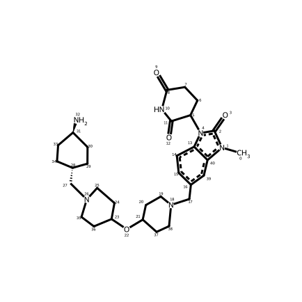 Cn1c(=O)n(C2CCC(=O)NC2=O)c2ccc(CN3CCC(OC4CCN(C[C@H]5CC[C@H](N)CC5)CC4)CC3)cc21